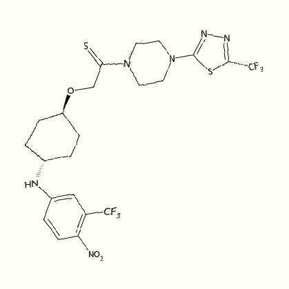 O=[N+]([O-])c1ccc(N[C@H]2CC[C@H](OCC(=S)N3CCN(c4nnc(C(F)(F)F)s4)CC3)CC2)cc1C(F)(F)F